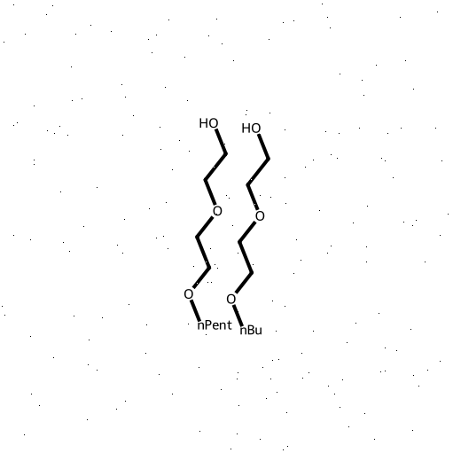 CCCCCOCCOCCO.CCCCOCCOCCO